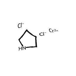 C1CCNC1.[Cl-].[Cl-].[Cr+2]